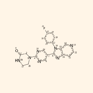 O=C1CN(c2ncc(-c3nc4ccncc4n3-c3ccc(F)cc3)cn2)CCN1